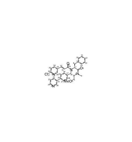 COCCN(C)C(=O)[C@H](Cc1ccccc1)N(Cc1ccc(-c2cccnc2)cc1)C(=O)C=Cc1ccc(Cl)nc1